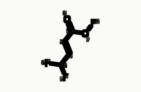 O=C(C=CC(F)F)OF